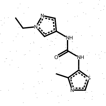 CCn1cc(NC(=O)Nc2scnc2C)cn1